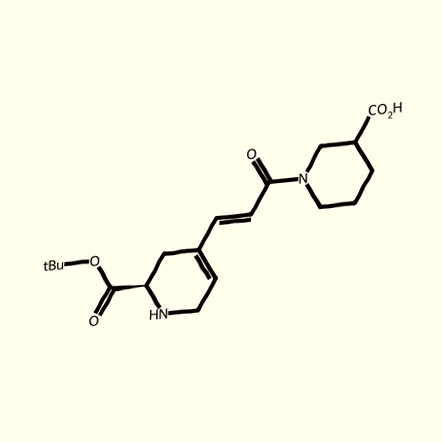 CC(C)(C)OC(=O)[C@H]1CC(/C=C/C(=O)N2CCCC(C(=O)O)C2)=CCN1